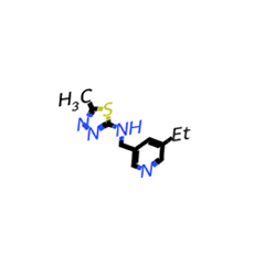 CCc1cncc(CNc2nnc(C)s2)c1